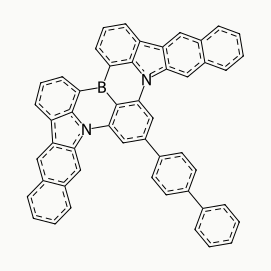 c1ccc(-c2ccc(-c3cc4c5c(c3)-n3c6cc7ccccc7cc6c6cccc(c63)B5c3cccc5c6cc7ccccc7cc6n-4c35)cc2)cc1